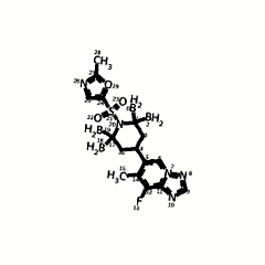 BC1(B)CC(c2cn3ncnc3c(F)c2C)CC(B)(B)N1S(=O)(=O)c1cnc(C)o1